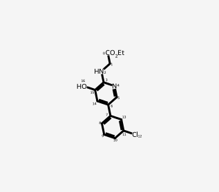 CCOC(=O)CNc1ncc(-c2cccc(Cl)c2)cc1O